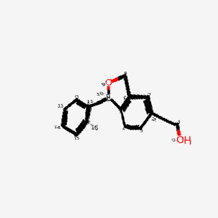 OCc1ccc2c(c1)COB2c1ccccc1